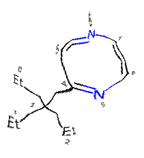 CCC(CC)(CC)c1cnccn1